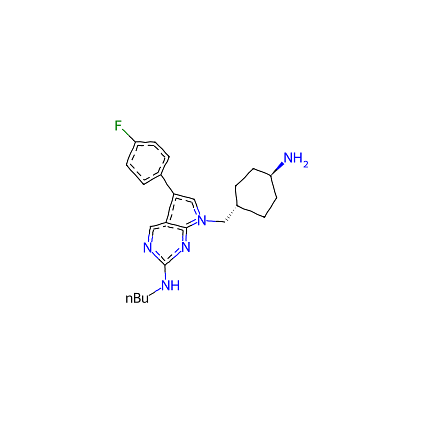 CCCCNc1ncc2c(-c3ccc(F)cc3)cn(C[C@H]3CC[C@H](N)CC3)c2n1